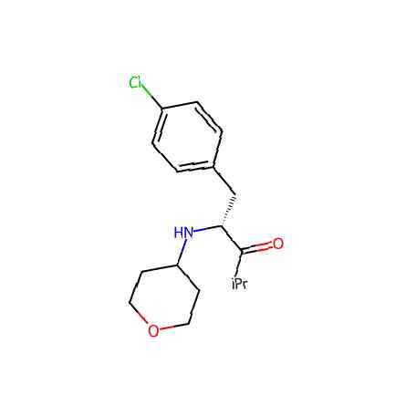 CC(C)C(=O)[C@@H](Cc1ccc(Cl)cc1)NC1CCOCC1